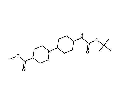 COC(=O)N1CCN(C2CCC(NC(=O)OC(C)(C)C)CC2)CC1